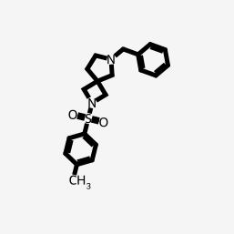 Cc1ccc(S(=O)(=O)N2CC3(CCN(Cc4ccccc4)C3)C2)cc1